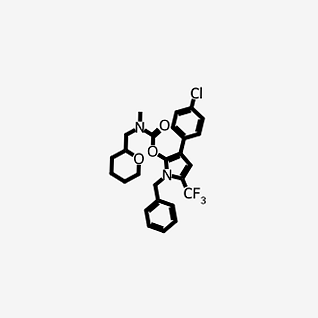 CN(CC1CCCCO1)C(=O)Oc1c(-c2ccc(Cl)cc2)cc(C(F)(F)F)n1Cc1ccccc1